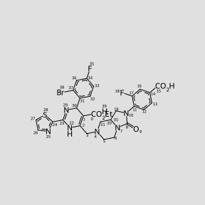 CCOC(=O)C1=C(CN2CCN3C(=O)N(c4ccc(C(=O)O)cc4F)C[C@@H]3C2)NC(c2nccs2)=NC1c1ccc(F)cc1Br